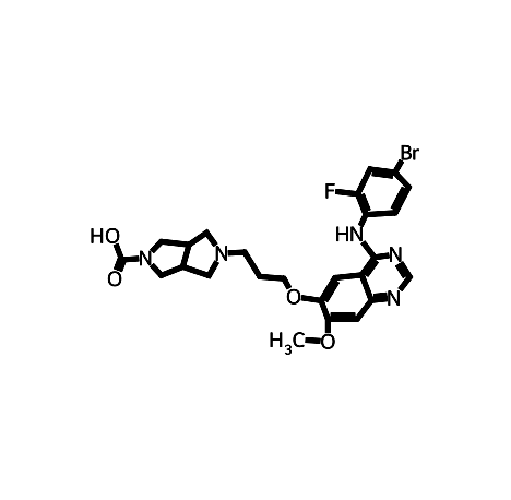 COc1cc2ncnc(Nc3ccc(Br)cc3F)c2cc1OCCCN1CC2CN(C(=O)O)CC2C1